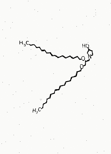 CCCCCC=CCC=CCCCCCCCCOCC(CN1CCC(O)C1)OCCCCCCCCC=CCC=CCCCCC